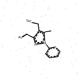 Cc1c(CC=O)c(CC(C)C)nn1-c1ccccn1